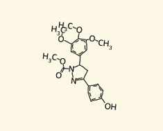 COC(=O)N1N=C(c2ccc(O)cc2)CC1c1cc(OC)c(OC)c(OC)c1